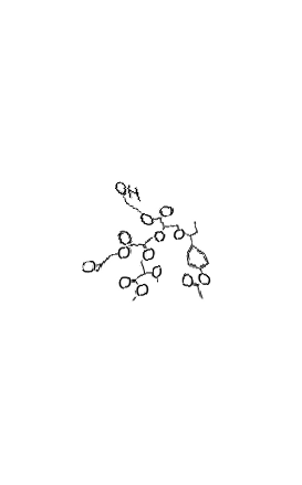 CCC(OCC(OCC(OCC(OC)C(=O)OC)C(=O)OCC1CO1)C(=O)OCCO)c1ccc(OC(C)=O)cc1